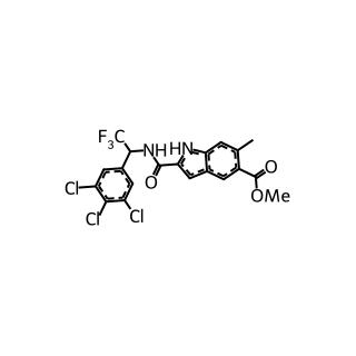 COC(=O)c1cc2cc(C(=O)NC(c3cc(Cl)c(Cl)c(Cl)c3)C(F)(F)F)[nH]c2cc1C